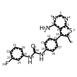 Cc1sc2ncnc(N)c2c1-c1ccc(NC(=O)Nc2cccc(F)c2)cc1